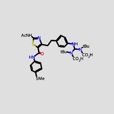 CSc1ccc(NC(=O)c2sc(NC(C)=O)nc2CCc2ccc(NC(N(C(=O)O)C(C)(C)C)N(C(=O)O)C(C)(C)C)cc2)cc1